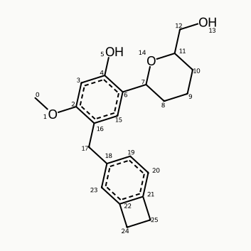 COc1cc(O)c(C2CCCC(CO)O2)cc1Cc1ccc2c(c1)CC2